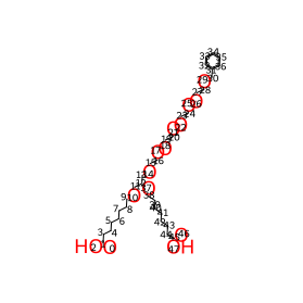 O=C(O)CCCCCCCOCC(COCCOOCCOOCCOOCCOCc1ccccc1)OCCCCCCCC(=O)O